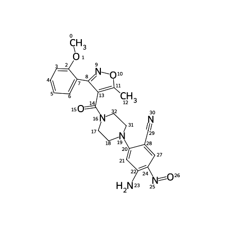 COc1ccccc1-c1noc(C)c1C(=O)N1CCN(c2cc(N)c(N=O)cc2C#N)CC1